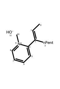 CC=C(CCCCC)c1cccc[n+]1C.[OH-]